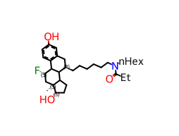 CCCCCCN(CCCCCC[C@@H]1Cc2cc(O)ccc2C2C1C1CC[C@H](O)[C@@]1(C)C[C@@H]2F)C(=O)CC